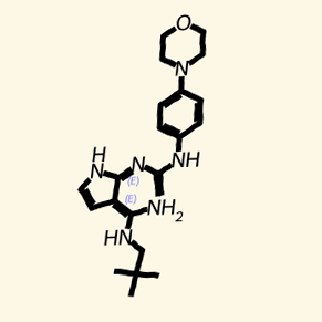 C=C(/N=C1/NC=C/C1=C(/N)NCC(C)(C)C)Nc1ccc(N2CCOCC2)cc1